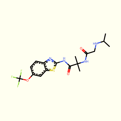 CC(C)NCC(=O)NC(C)(C)C(=O)Nc1nc2ccc(OC(F)(F)F)cc2s1